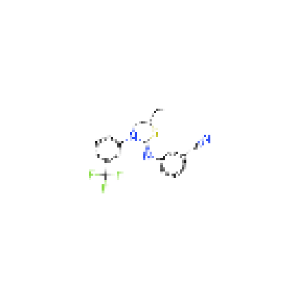 CCC1CN(c2cccc(C(F)(F)F)c2)C(=Nc2cccc(C#N)c2)S1